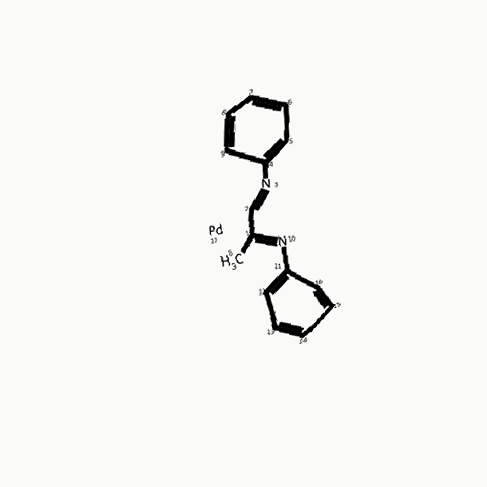 CC(C=Nc1ccccc1)=Nc1ccccc1.[Pd]